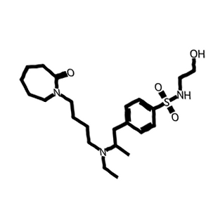 CCN(CCCCN1CCCCCC1=O)C(C)Cc1ccc(S(=O)(=O)NCCO)cc1